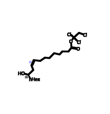 CCCCCC[C@@H](O)C/C=C\CCCCCCCC(=O)OC(Cl)(Cl)CCl